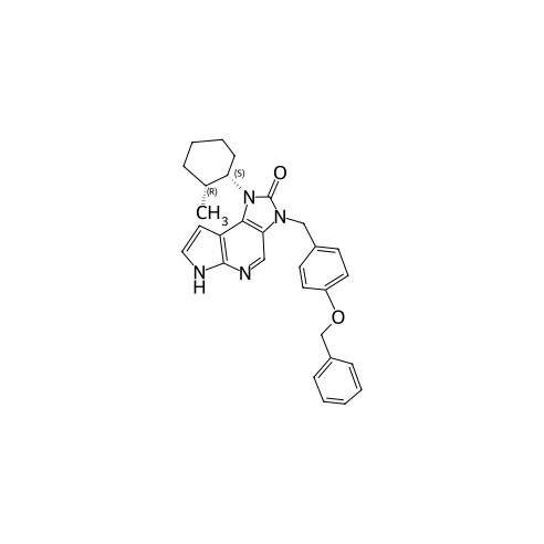 C[C@@H]1CCCC[C@@H]1n1c(=O)n(Cc2ccc(OCc3ccccc3)cc2)c2cnc3[nH]ccc3c21